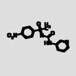 CS(=O)(=NC(=O)Nc1cccnc1)c1ccc([N+](=O)[O-])cc1